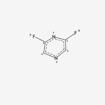 Fc1cncc(F)n1